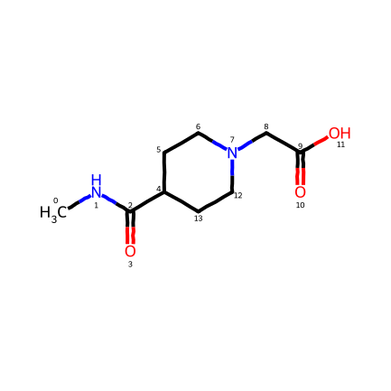 CNC(=O)C1CCN(CC(=O)O)CC1